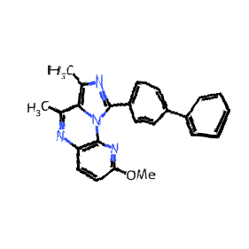 COc1ccc2nc(C)c3c(C)nc(-c4ccc(-c5ccccc5)cc4)n3c2n1